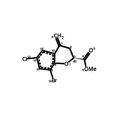 C=C1C[C@H](C(=O)OC)Oc2c(Br)cc(Cl)cc21